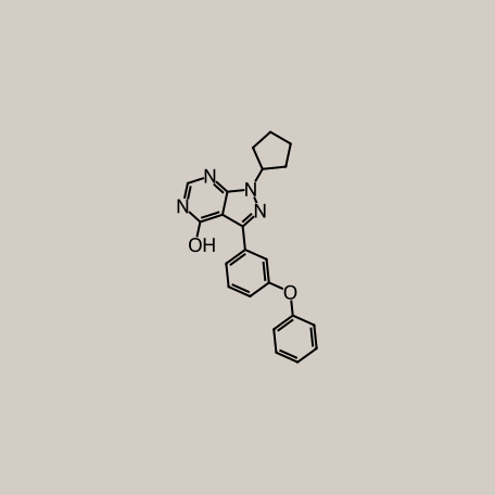 Oc1ncnc2c1c(-c1cccc(Oc3ccccc3)c1)nn2C1CCCC1